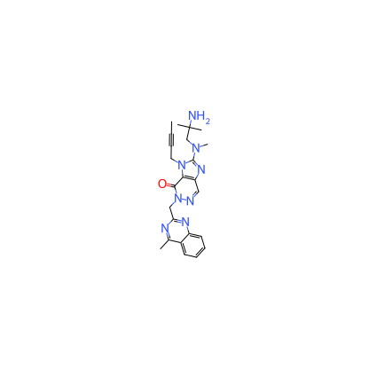 CC#CCn1c(N(C)CC(C)(C)N)nc2cnn(Cc3nc(C)c4ccccc4n3)c(=O)c21